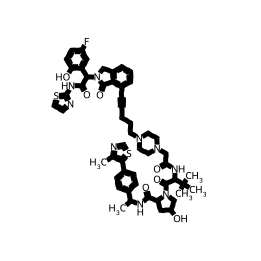 Cc1ncsc1-c1ccc(C(C)NC(=O)C2CC(O)CN2C(=O)C(NC(=O)CN2CCN(CCCC#Cc3cccc4c3C(=O)N(C(C(=O)Nc3nccs3)c3cc(F)ccc3O)C4)CC2)C(C)(C)C)cc1